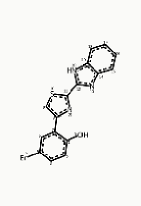 Oc1ccc(Br)cc1-c1csc(-c2nc3ccccc3[nH]2)n1